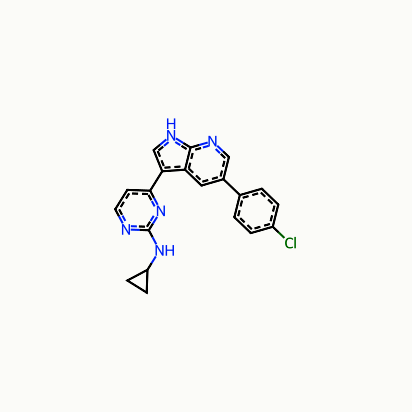 Clc1ccc(-c2cnc3[nH]cc(-c4ccnc(NC5CC5)n4)c3c2)cc1